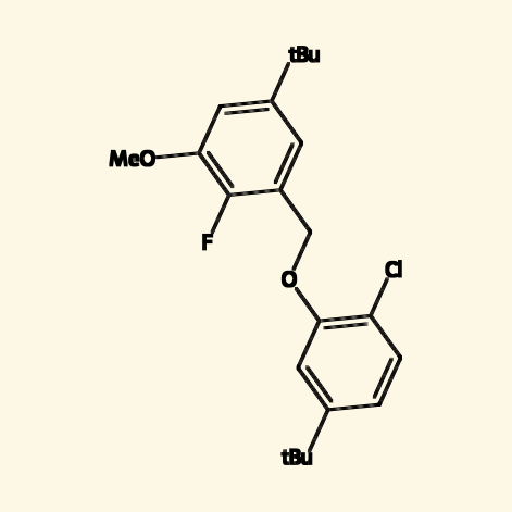 COc1cc(C(C)(C)C)cc(COc2cc(C(C)(C)C)ccc2Cl)c1F